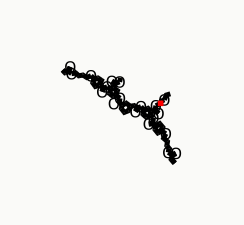 C=CC(=O)OCCCCOc1ccc(C(=O)Oc2ccc(OC(=O)C3CCCC(CC(=O)Oc4ccc(OC(=O)c5ccc(OCCCCOC(=O)C=C)cc5)c(C(=O)OCCOCC)c4)C3)cc2C(=O)OC)cc1